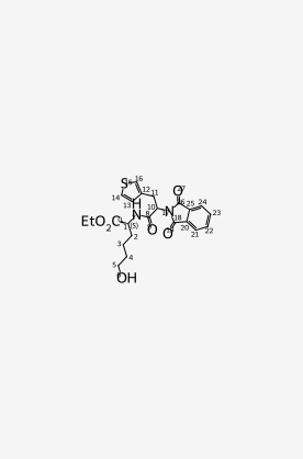 CCOC(=O)[C@H](CCCCO)NC(=O)C(Cc1ccsc1)N1C(=O)c2ccccc2C1=O